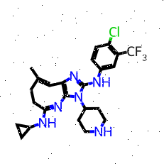 C/C1=C\c2nc(Nc3ccc(Cl)c(C(F)(F)F)c3)n(C3CCNCC3)c2/N=C(/NC2CC2)CC1